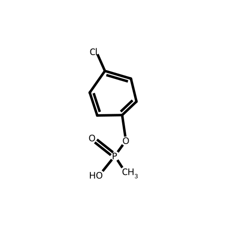 CP(=O)(O)Oc1ccc(Cl)cc1